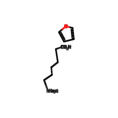 CCCCCCCCCCCCC(=O)O.c1ccoc1